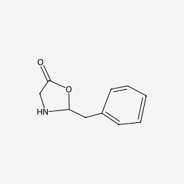 O=C1CNC(Cc2ccccc2)O1